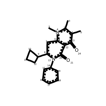 Cc1c(C)n(C)c2cc(C3CCC3)n(-c3ccccc3)c(=O)c2c1=O